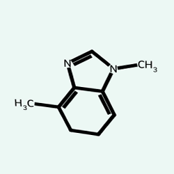 CC1=c2ncn(C)c2=CCC1